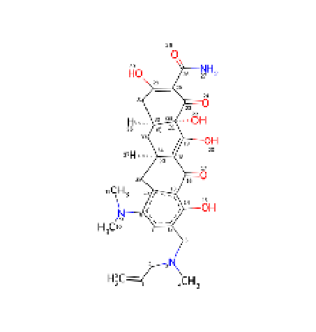 C=CCN(C)Cc1cc(N(C)C)c2c(c1O)C(=O)C1=C(O)[C@]3(O)C(=O)C(C(N)=O)=C(O)C[C@@H]3C[C@@H]1C2